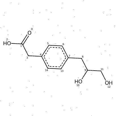 O=C(O)Cc1ccc(CC(O)CO)cc1